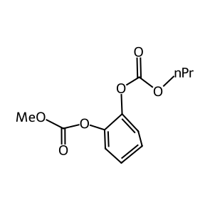 CCCOC(=O)Oc1ccccc1OC(=O)OC